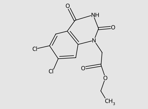 CCOC(=O)Cn1c(=O)[nH]c(=O)c2cc(Cl)c(Cl)cc21